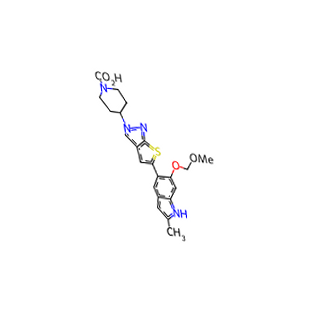 COCOc1cc2[nH]c(C)cc2cc1-c1cc2cn(C3CCN(C(=O)O)CC3)nc2s1